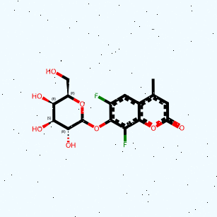 Cc1cc(=O)oc2c(F)c(OC3O[C@H](CO)[C@H](O)[C@H](O)[C@H]3O)c(F)cc12